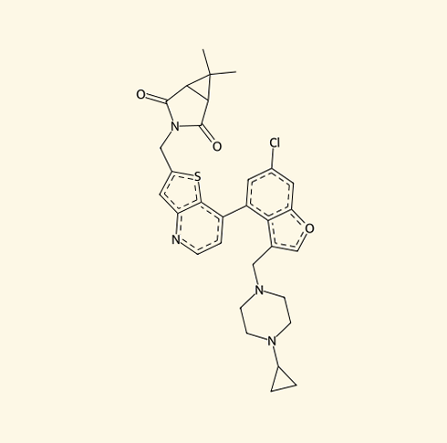 CC1(C)C2C(=O)N(Cc3cc4nccc(-c5cc(Cl)cc6occ(CN7CCN(C8CC8)CC7)c56)c4s3)C(=O)C21